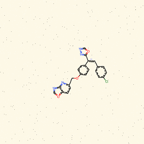 Clc1ccc(/C=C(\c2ccc(OCc3ccc4ocnc4n3)cc2)c2nnco2)cc1